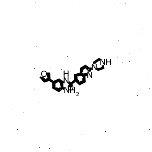 Nc1ccc(-c2ccoc2)cc1NC(=O)c1ccc2nc(N3CCNCC3)ccc2c1